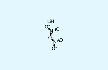 O=[N+]([O-])O[N+](=O)[O-].[LiH]